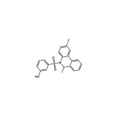 CC1c2ccccc2-c2cc(F)ccc2N1S(=O)(=O)c1cccc(O)c1